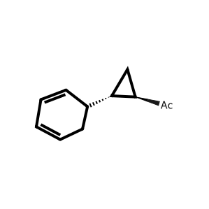 CC(=O)[C@@H]1C[C@H]1C1C=CC=CC1